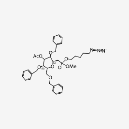 COP(=O)(C[C@H]1OC(COCc2ccccc2)[C@@H](OCc2ccccc2)C(OC(C)=O)C1OCc1ccccc1)OCCCCCN=[N+]=[N-]